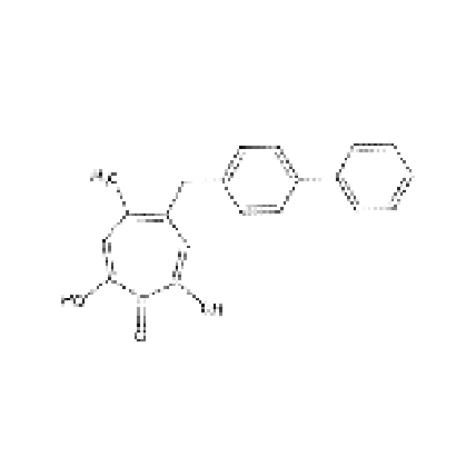 Cc1cc(O)c(=O)c(O)cc1Cc1ccc(-c2ccccc2)cc1